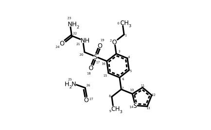 CCOc1ccc(C(CC)c2cccs2)cc1S(=O)(=O)CNC(N)=O.NC=O